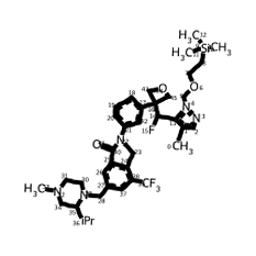 Cc1cnn(COCC[Si](C)(C)C)c1C(F)C1(c2cccc(N3Cc4c(cc(CN5CCN(C)CC5C(C)C)cc4C(F)(F)F)C3=O)c2)COC1